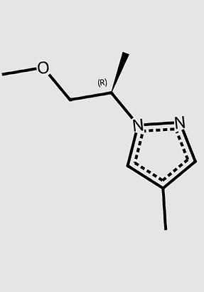 COC[C@@H](C)n1cc(C)cn1